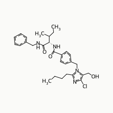 CCCCc1nc(Cl)c(CO)n1Cc1ccc(C(=O)N[C@H](C(=O)NCc2ccccc2)C(C)CC)cc1